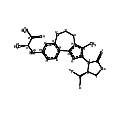 Cc1c(N2C(=O)OC[C@H]2C(F)F)nc2n1CCOc1cc(N[C@@H](C)C(N)=O)ccc1-2